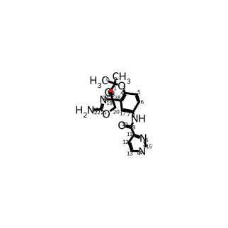 CC1(C)Oc2ccc(NC(=O)c3ccncn3)cc2C2(COC(N)=N2)C12COC2